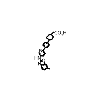 Cc1ccc2nc(Nc3ccc(-c4ccc(C5CCC(CC(=O)O)CC5)cc4)nc3)oc2c1